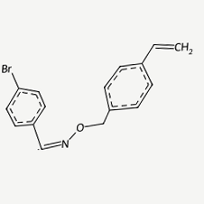 C=Cc1ccc(CO/N=[C]\c2ccc(Br)cc2)cc1